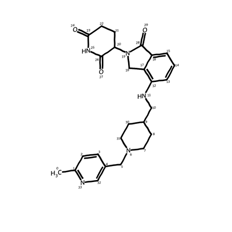 Cc1ccc(CN2CCC(CNc3cccc4c3CN(C3CCC(=O)NC3=O)C4=O)CC2)cn1